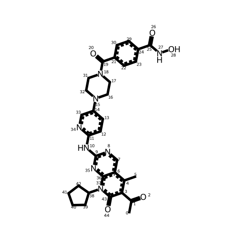 CC(=O)c1c(C)c2cnc(Nc3ccc(N4CCN(C(=O)c5ccc(C(=O)NO)cc5)CC4)cn3)nc2n(C2CCCC2)c1=O